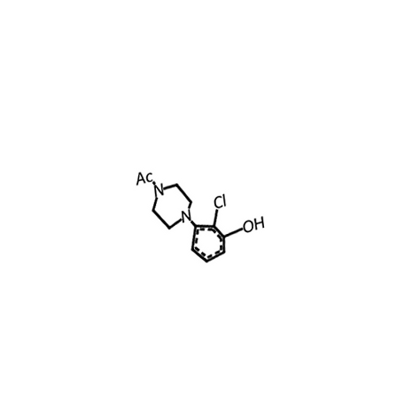 CC(=O)N1CCN(c2cccc(O)c2Cl)CC1